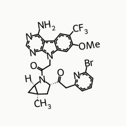 COc1cc2c(cc1C(F)(F)F)c1c(N)ncnc1n2CC(=O)N1[C@H](C(=O)Cc2cccc(Br)n2)C[C@@]2(C)C[C@@H]12